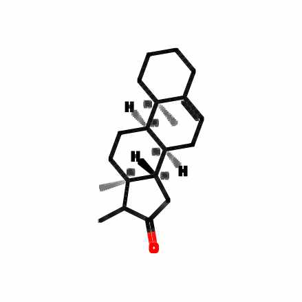 CC1C(=O)C[C@H]2[C@@H]3CC=C4CCCC[C@]4(C)[C@@H]3CC[C@]12C